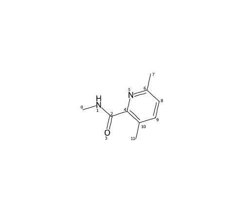 CNC(=O)c1nc(C)ccc1C